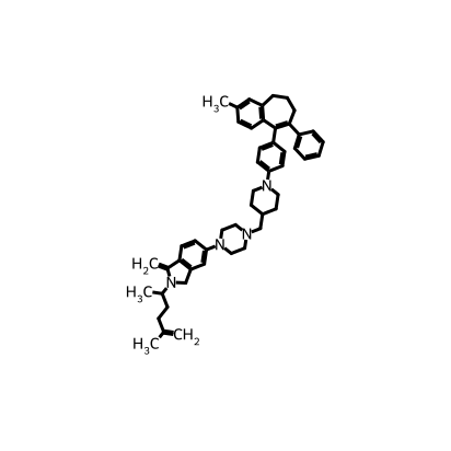 C=C(C)CCC(C)N1Cc2cc(N3CCN(CC4CCN(c5ccc(C6=C(c7ccccc7)CCCc7cc(C)ccc76)cc5)CC4)CC3)ccc2C1=C